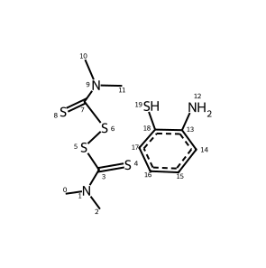 CN(C)C(=S)SSC(=S)N(C)C.Nc1ccccc1S